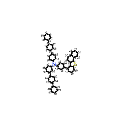 c1ccc(-c2ccc(-c3ccc(N(c4ccc(-c5cccc6sc7c8ccccc8ccc7c56)cc4)c4cccc(-c5ccc(-c6ccccc6)cc5)c4)cc3)cc2)cc1